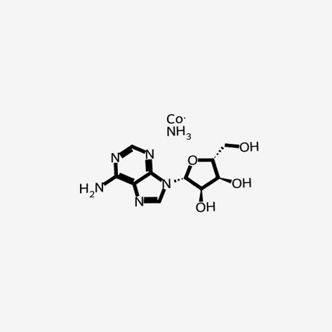 N.Nc1ncnc2c1ncn2[C@@H]1O[C@H](CO)[C@@H](O)[C@H]1O.[Co]